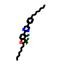 CCCCCCCc1ccc(-c2cnc(-c3ccc4c(c3F)C(F)(F)C(CCCCCCC)O4)nc2)cc1